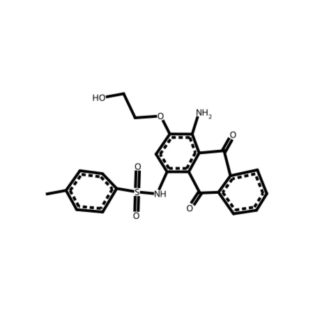 Cc1ccc(S(=O)(=O)Nc2cc(OCCO)c(N)c3c2C(=O)c2ccccc2C3=O)cc1